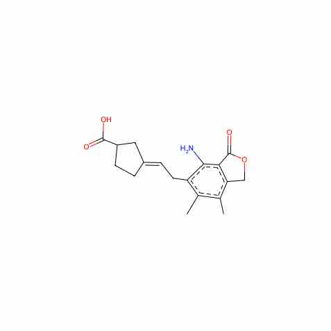 Cc1c(C)c2c(c(N)c1CC=C1CCC(C(=O)O)C1)C(=O)OC2